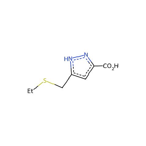 CCSCc1cc(C(=O)O)n[nH]1